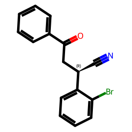 N#C[C@H](CC(=O)c1ccccc1)c1ccccc1Br